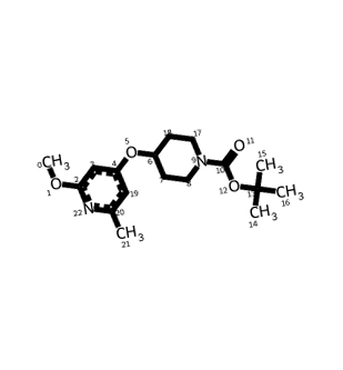 COc1cc(OC2CCN(C(=O)OC(C)(C)C)CC2)cc(C)n1